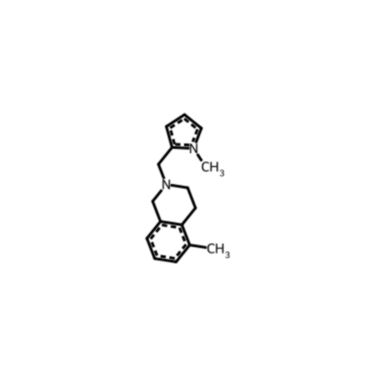 Cc1cccc2c1CCN(Cc1cccn1C)C2